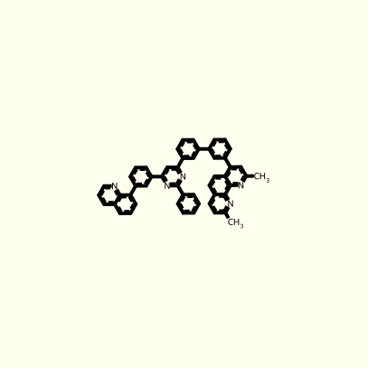 Cc1ccc2ccc3c(-c4cccc(-c5cccc(-c6cc(-c7cccc(-c8cccc9cccnc89)c7)nc(-c7ccccc7)n6)c5)c4)cc(C)nc3c2n1